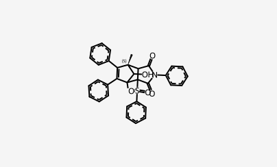 CC12C(c3ccccc3)=C(c3ccccc3)[C@@](C)(C1O)C1C(=O)N(c3ccccc3)C(=O)C12S(=O)(=O)c1ccccc1